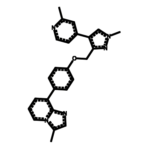 Cc1cc(-c2cn(C)nc2COc2ccc(-c3cccn4c(C)cnc34)cc2)ccn1